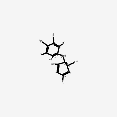 Cc1c(F)c(F)c(F)c(Bc2c(F)cc(F)cc2F)c1F